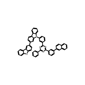 c1ccc(-c2nc(-c3cccc(-c4ccc5ccccc5c4)c3)nc(-c3cccc(-n4c5ccccc5c5ccc(-c6ccc7oc8ccccc8c7c6)cc54)c3)n2)cc1